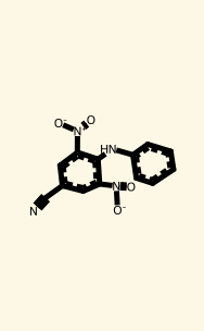 N#Cc1cc([N+](=O)[O-])c(Nc2ccccc2)c([N+](=O)[O-])c1